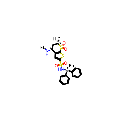 CCN[C@H]1C[C@H](C)S(=O)(=O)c2sc(S(=O)(=O)N[Si](c3ccccc3)(c3ccccc3)C(C)(C)C)cc21